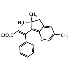 CCOC(=O)C=C(C1=C2OC=C(C)C=C2CC1(C)C)c1ccccn1